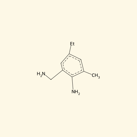 CCc1cc(C)c(N)c(CN)c1